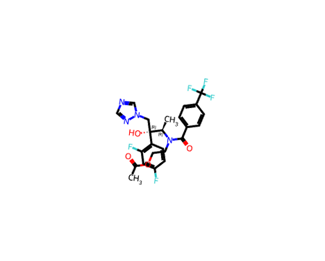 CC(=O)OCCN(C(=O)c1ccc(C(F)(F)F)cc1)[C@H](C)[C@](O)(Cn1cncn1)c1ccc(F)cc1F